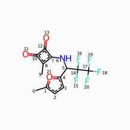 Cc1ccc(C(Nc2c(C)c(=O)c2=O)C(F)(F)C(F)(F)F)o1